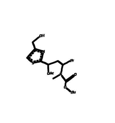 CC(=O)OC(CC(C(C)C)N(C)C(=O)OC(C)(C)C)c1nc(CO)cs1